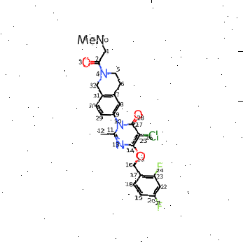 CNCC(=O)N1CCc2cc(-n3c(C)nc(OCc4ccc(F)cc4F)c(Cl)c3=O)ccc2C1